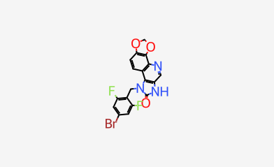 O=c1[nH]c2cnc3c4c(ccc3c2n1Cc1c(F)cc(Br)cc1F)OCO4